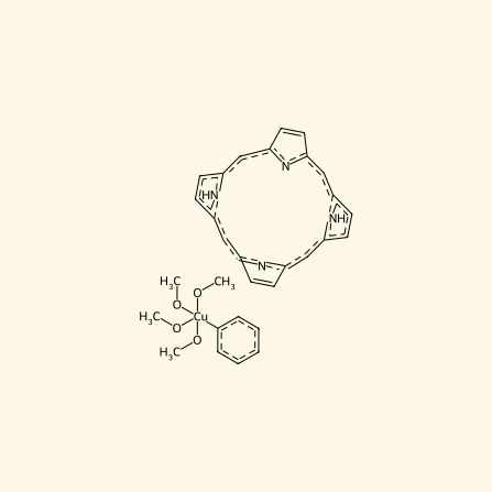 C1=Cc2cc3ccc(cc4nc(cc5ccc(cc1n2)[nH]5)C=C4)[nH]3.C[O][Cu]([O]C)([O]C)([O]C)[c]1ccccc1